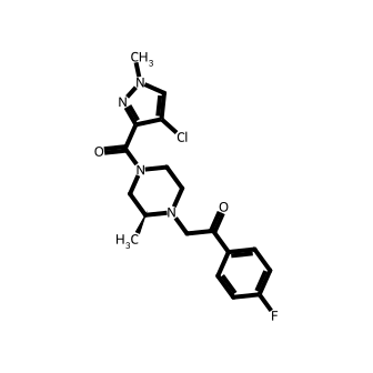 C[C@H]1CN(C(=O)c2nn(C)cc2Cl)CCN1CC(=O)c1ccc(F)cc1